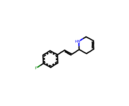 Fc1ccc(C=CC2CC=CCN2)cc1